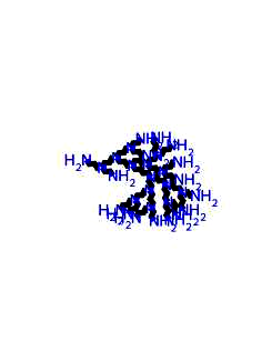 NCCCN(CCN)CCCN(CCCN(CCN)CCCN)CCCN(CCCCN(CCCN(CCCN(CCN)CCCN)CCCN(CCCN)CCCN)CCN(CCCN(CCN)CCCN)CCCN(CCCN)CCCN)CCCN(CCCN(CCCN)CCCN)CCN(CCCN)CCCN